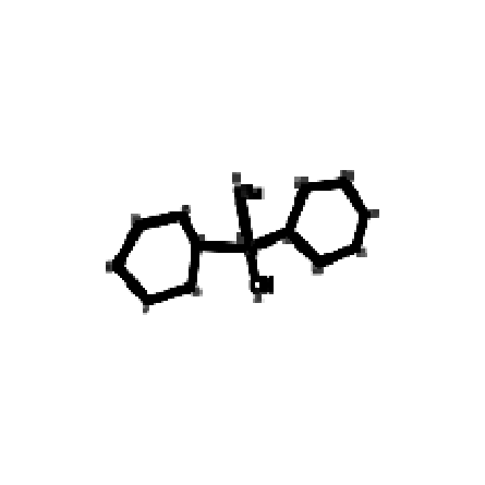 CC(C)(C)[Si](C#N)(C1CCCCC1)C1CCCCC1